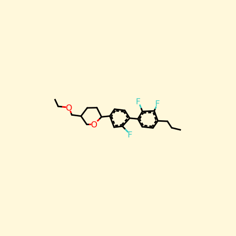 CCCc1ccc(-c2ccc(C3CCC(COCC)CO3)cc2F)c(F)c1F